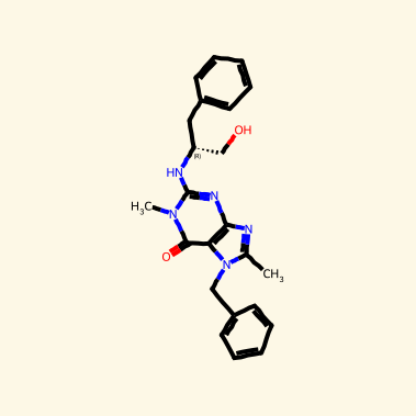 Cc1nc2nc(N[C@@H](CO)Cc3ccccc3)n(C)c(=O)c2n1Cc1ccccc1